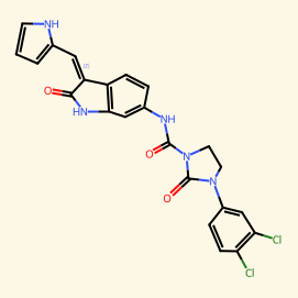 O=C1Nc2cc(NC(=O)N3CCN(c4ccc(Cl)c(Cl)c4)C3=O)ccc2/C1=C/c1ccc[nH]1